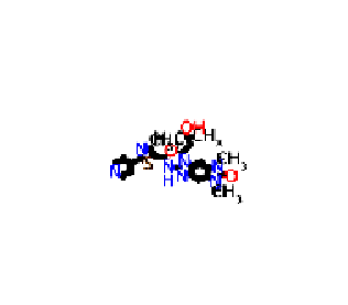 Cc1nc(-c2ccncc2)sc1C(=O)Nc1nc2cc3c(cc2n1CCC(C)(C)O)n(C)c(=O)n3C